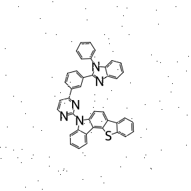 c1ccc(-n2c(-c3cccc(-c4ccnc(-n5c6ccccc6c6c7sc8ccccc8c7ccc65)n4)c3)nc3ccccc32)cc1